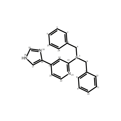 c1ccc(CN(Cc2ccccc2)c2cc(-c3c[nH]cn3)ccn2)cc1